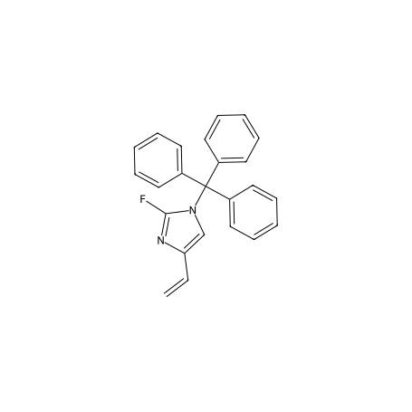 C=Cc1cn(C(c2ccccc2)(c2ccccc2)c2ccccc2)c(F)n1